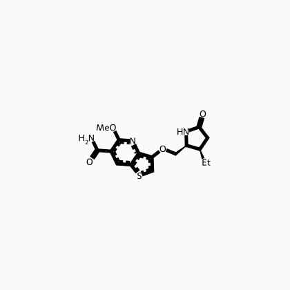 CC[C@@H]1CC(=O)N[C@@H]1COc1csc2cc(C(N)=O)c(OC)nc12